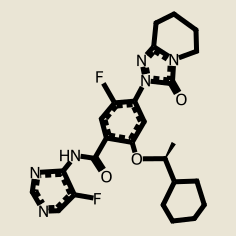 C[C@H](Oc1cc(-n2nc3n(c2=O)CCCC3)c(F)cc1C(=O)Nc1ncncc1F)C1CCCCC1